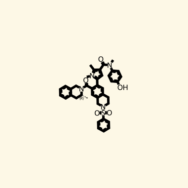 Cc1c(C(=O)N(C)c2ccc(O)cc2)cc(-c2cc3c(cc2C(=O)N2Cc4ccccc4C[C@H]2C)CN(S(=O)(=O)c2ccccc2)CC3)n1C